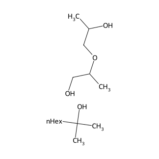 CC(O)COC(C)CO.CCCCCCC(C)(C)O